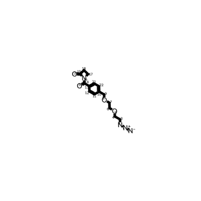 [N-]=[N+]=NCCOCCOCc1ccc(C(=O)N2CCC2=O)cc1